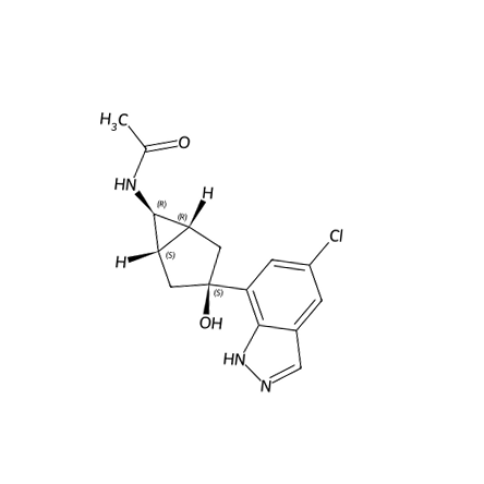 CC(=O)N[C@H]1[C@@H]2C[C@](O)(c3cc(Cl)cc4cn[nH]c34)C[C@@H]21